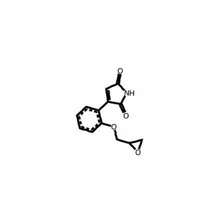 O=C1C=C(c2ccccc2OCC2CO2)C(=O)N1